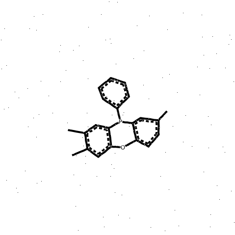 Cc1ccc2c(c1)P(c1ccccc1)c1cc(C)c(C)cc1O2